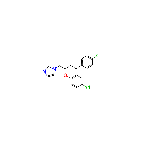 Clc1ccc(CCC(Cn2ccnc2)Oc2ccc(Cl)cc2)cc1